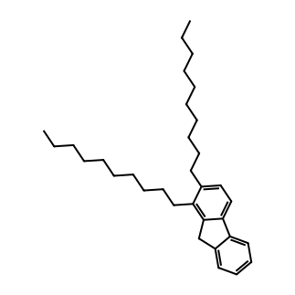 CCCCCCCCCCc1ccc2c(c1CCCCCCCCCC)Cc1ccccc1-2